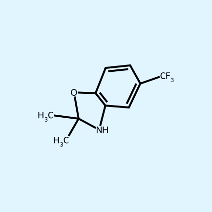 CC1(C)Nc2cc(C(F)(F)F)ccc2O1